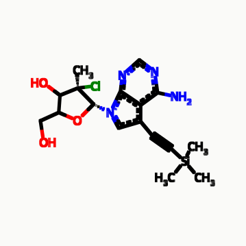 C[C@@]1(Cl)C(O)C(CO)O[C@H]1n1cc(C#C[Si](C)(C)C)c2c(N)ncnc21